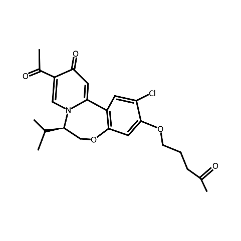 CC(=O)CCCOc1cc2c(cc1Cl)-c1cc(=O)c(C(C)=O)cn1[C@H](C(C)C)CO2